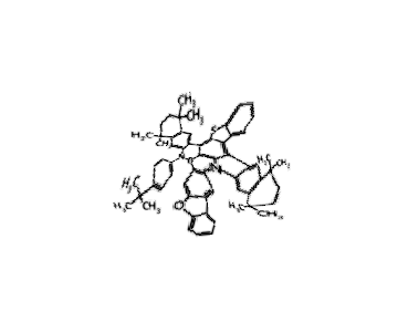 CC(C)(C)c1ccc(N2B3c4cc5oc6ccccc6c5cc4-n4c5cc6c(cc5c5c7c(sc8ccccc87)c(c3c54)-c3cc4c(cc32)C(C)(C)CCC4(C)C)C(C)(C)CCC6(C)C)cc1